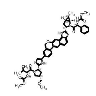 COC[C@H]1C[C@@H](c2ncc(-c3ccc4c(c3)COc3cc5c(ccc6nc([C@@H]7C[C@H]8[C@@H](C)[C@H]8N7C(=O)[C@H](NC(=O)OC)c7ccccc7)[nH]c65)cc3-4)[nH]2)N(C(=O)[C@@H](NC(=O)OC)C(C)C)C1